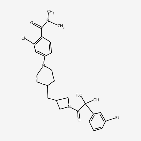 CCc1cccc(C(O)(C(=O)N2CC(CC3CCN(c4ccc(C(=O)N(C)C)c(Cl)c4)CC3)C2)C(F)(F)F)c1